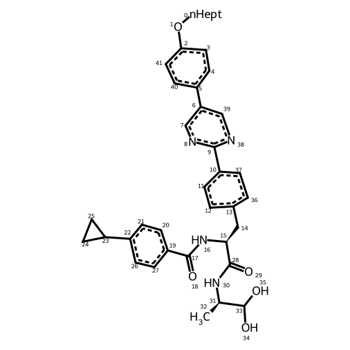 CCCCCCCOc1ccc(-c2cnc(-c3ccc(C[C@H](NC(=O)c4ccc(C5CC5)cc4)C(=O)N[C@H](C)C(O)O)cc3)nc2)cc1